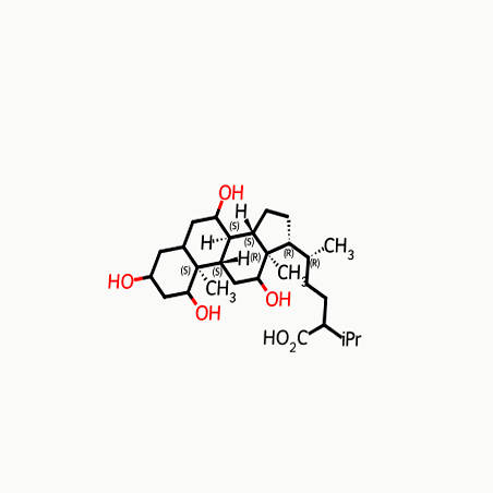 CC(C)C(CC[C@@H](C)[C@H]1CC[C@H]2[C@@H]3C(O)CC4CC(O)CC(O)[C@]4(C)[C@H]3CC(O)[C@]12C)C(=O)O